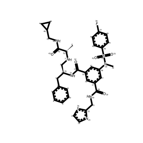 C[C@H](NC[C@H](Cc1ccccc1)NC(=O)c1cc(C(=O)NCc2nccs2)cc(N(C)S(=O)(=O)c2ccc(F)cc2)c1)C(=O)NCC1CC1